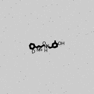 COc1ccccc1-c1cc(C(=O)N/N=C/c2ccc(O)c(C)c2)sn1